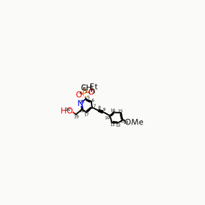 CCOP(C)(=O)c1cc(C#Cc2ccc(OC)cc2)cc(CO)n1